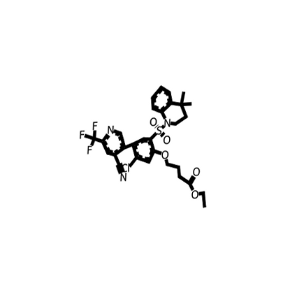 CCOC(=O)CCCOc1cc(Cl)c(-c2cnc(C(F)(F)F)cc2C#N)cc1S(=O)(=O)N1CCC(C)(C)c2ccccc21